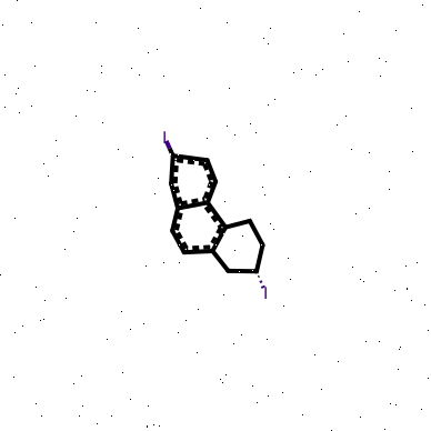 Ic1ccc2c3c(ccc2c1)C[C@@H](I)CC3